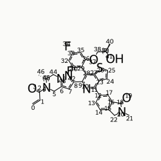 C=CC(=O)N1Cc2cc(-c3nc(-c4ccc5c(c4)C(=O)N(C)C5)c4ccsc4c3-c3c(F)cc(F)cc3OC[C@@H](C)O)nn2C[C@H]1C